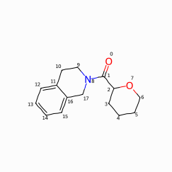 O=C(C1CCCCO1)N1CCc2ccccc2C1